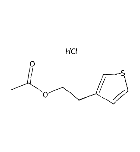 CC(=O)OCCc1ccsc1.Cl